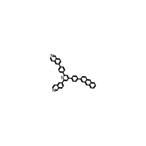 c1ccc2cc3cc(-c4ccc(-c5cc(-c6ccc(-c7ccc8cnccc8c7)cc6)nc(-c6ccc7cnccc7c6)c5)cc4)ccc3cc2c1